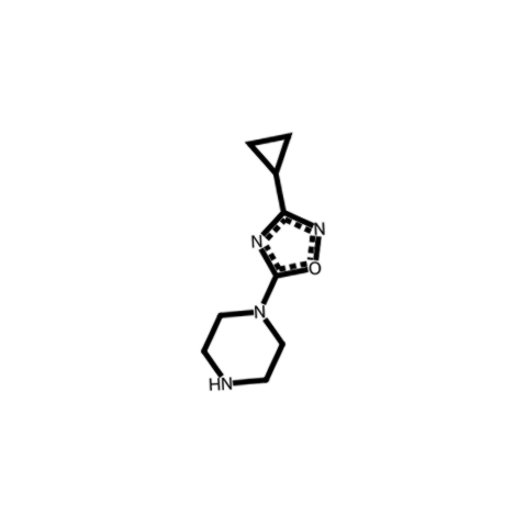 C1CN(c2nc(C3CC3)no2)CCN1